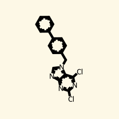 Clc1nc(Cl)c2c(ncn2Cc2ccc(-c3ccccc3)cc2)n1